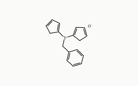 C1=CC[C]([Ti+]([CH2]c2ccccc2)[C]2=CC=CC2)=C1.[Cl-]